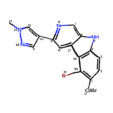 COc1ccc2[nH]c3cnc(-c4cnn(C)c4)cc3c2c1Br